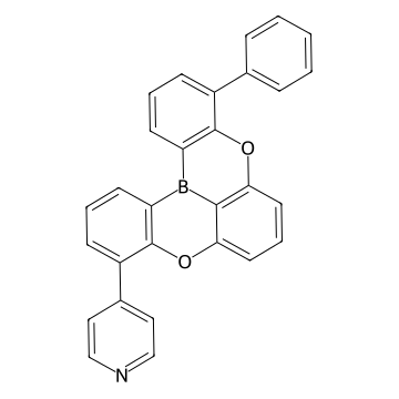 c1ccc(-c2cccc3c2Oc2cccc4c2B3c2cccc(-c3ccncc3)c2O4)cc1